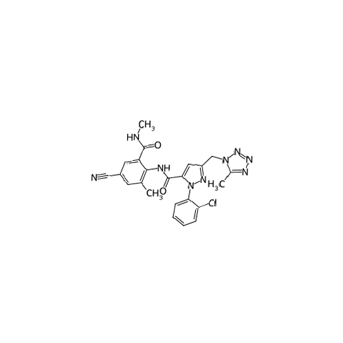 CNC(=O)c1cc(C#N)cc(C)c1NC(=O)c1cc(Cn2nnnc2C)nn1-c1ccccc1Cl